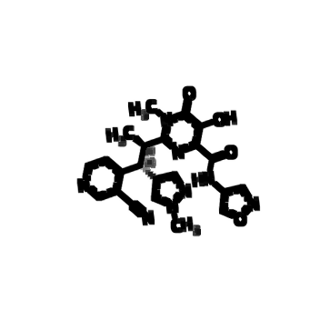 C[C@@H](c1nc(C(=O)Nc2cnoc2)c(O)c(=O)n1C)[C@H](c1cnn(C)c1)c1ccncc1C#N